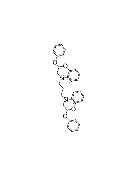 c1ccc(OC(C[SiH2]CCC[SiH2]CC(Oc2ccccc2)Oc2ccccc2)Oc2ccccc2)cc1